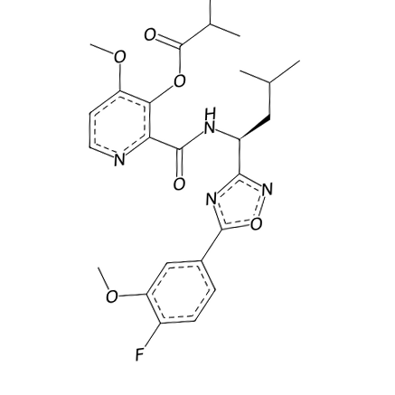 COc1cc(-c2nc([C@H](CC(C)C)NC(=O)c3nccc(OC)c3OC(=O)C(C)C)no2)ccc1F